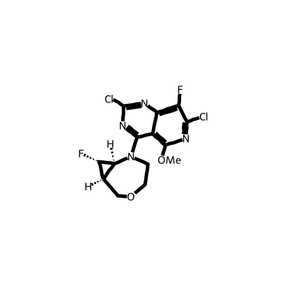 COc1nc(Cl)c(F)c2nc(Cl)nc(N3CCOC[C@H]4[C@H](F)[C@H]43)c12